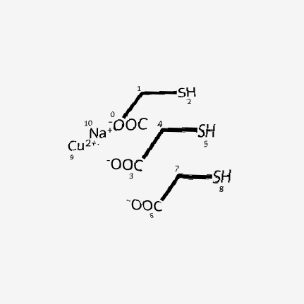 O=C([O-])CS.O=C([O-])CS.O=C([O-])CS.[Cu+2].[Na+]